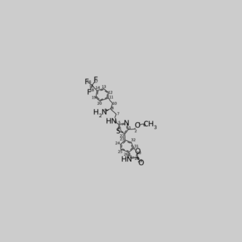 COCc1nc(NC[C@@H](N)Cc2ccc(C(F)(F)F)cc2)sc1-c1ccc2[nH]c(=O)oc2c1